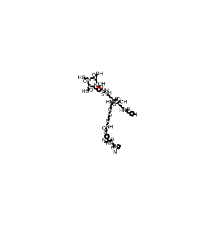 N#C[C@H]1CCCN1C(=O)CNC(=O)c1ccnc2cc(OCC(=O)NCCOCCOCCOCCC(=O)N[C@@H](CCCCNC(=S)Nc3ccc(CC4CN(CC(=O)O)CCN(CC(=O)O)CCN(CC(=O)O)CCN4CC(=O)O)cc3)C(=O)N[C@@H](CCCCNC(=O)Cc3ccc(I)cc3)C(=O)O)ccc12